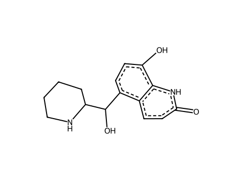 O=c1ccc2c(C(O)C3CCCCN3)ccc(O)c2[nH]1